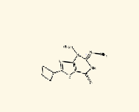 CCCCCn1/c(=N/N)[nH]c(=O)c2[nH]c(C3CCC3)nc21